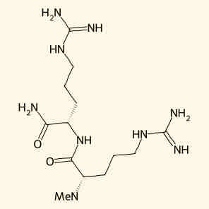 CN[C@@H](CCCNC(=N)N)C(=O)N[C@@H](CCCNC(=N)N)C(N)=O